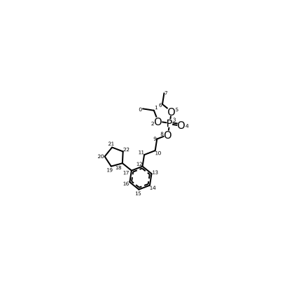 CCOP(=O)(OCC)OCCCc1ccccc1C1CCCC1